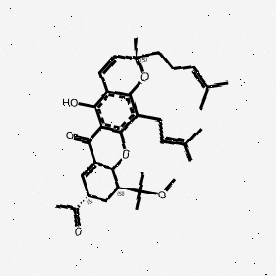 COC(C)(C)[C@H]1C[C@H](C(C)=O)C=C2C(=O)c3c(O)c4c(c(CC=C(C)C)c3OC21)O[C@@](C)(CCC=C(C)C)C=C4